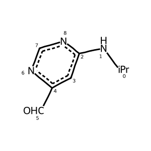 CC(C)Nc1cc(C=O)ncn1